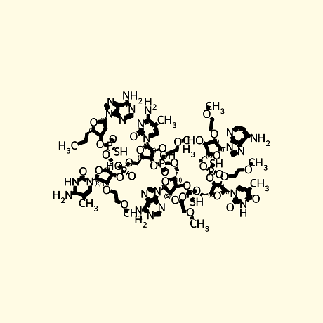 CCC[C@H]1O[C@@H](n2cnc3c(N)ncnc32)CC1OP(=O)(S)OC[C@H]1O[C@@H](N2C=C(C)C(N)NC2=O)[C@@H](OCCOC)C1OP(=O)(O)OC[C@H]1O[C@@H](n2cc(C)c(N)nc2=O)[C@@H](OCCOC)C1OP(=O)(O)OC[C@H]1O[C@@H](n2cnc3c(N)ncnc32)[C@@H](OCCOC)C1OP(=O)(S)OC[C@H]1O[C@@H](n2cc(C)c(=O)[nH]c2=O)[C@@H](OCCOC)C1OP(=O)(S)OC[C@H]1O[C@@H](n2cnc3c(N)ccnc32)[C@@H](OCCOC)C1O